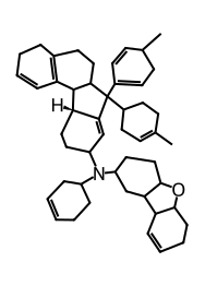 CC1=CCC(C2(C3=CCC(C)C=C3)C3=CC(N(C4CC=CCC4)C4CCC5OC6CCC=CC6C5C4)CC[C@@H]3C3C4=C(CCC=C4)CCC32)CC1